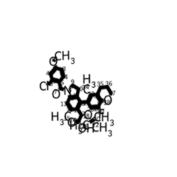 COc1ccc(C(=O)N2CCc3c2cc(C)c([C@H](OC(C)(C)C)C(=O)O)c3-c2cc(F)c3c(c2C)CCCO3)c(Cl)c1